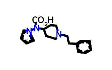 O=C(O)N(C1CCN(CCc2ccccc2)CC1)n1cccc1